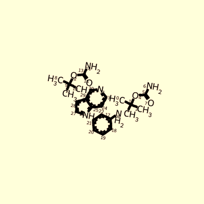 CC(C)(C)OC(N)=O.CC(C)(C)OC(N)=O.Nc1ccccc1.c1cc2[nH]ccc2cn1